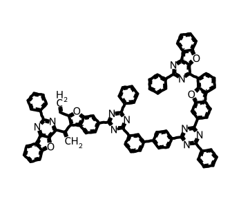 C=Cc1oc2cc(-c3nc(-c4ccccc4)nc(-c4cccc(-c5ccc(-c6nc(-c7ccccc7)nc(-c7ccc8c(c7)oc7c(-c9nc(-c%10ccccc%10)nc%10c9oc9ccccc9%10)cccc78)n6)cc5)c4)n3)ccc2c1C(=C)c1nc(-c2ccccc2)nc2c1oc1ccccc12